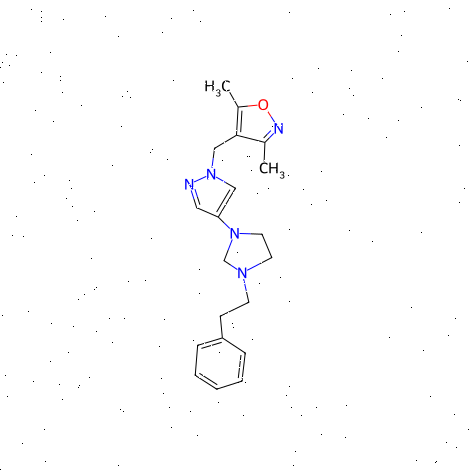 Cc1noc(C)c1Cn1cc(N2CCN(CCc3ccccc3)C2)cn1